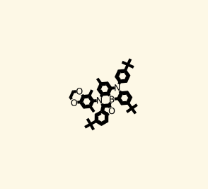 Cc1cc2c3c(c1)N(c1c(C)cc4c(c1C)OCCO4)c1c(oc4ccc(C(C)(C)C)cc14)B3c1cc(C(C)(C)C)ccc1N2c1ccc(C(C)(C)C)cc1